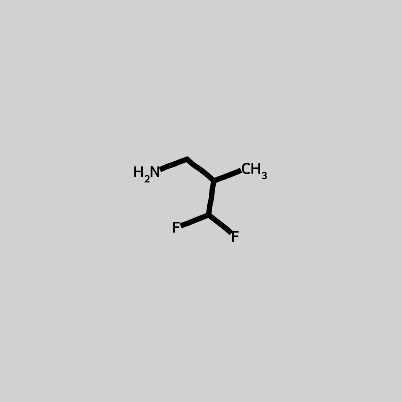 CC(CN)C(F)F